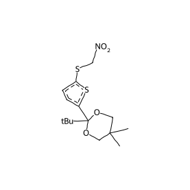 CC1(C)COC(c2ccc(SC[N+](=O)[O-])s2)(C(C)(C)C)OC1